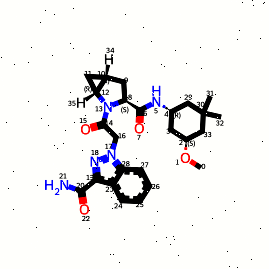 CO[C@@H]1C[C@H](NC(=O)[C@@H]2C[C@H]3C[C@H]3N2C(=O)Cn2nc(C(N)=O)c3ccccc32)CC(C)(C)C1